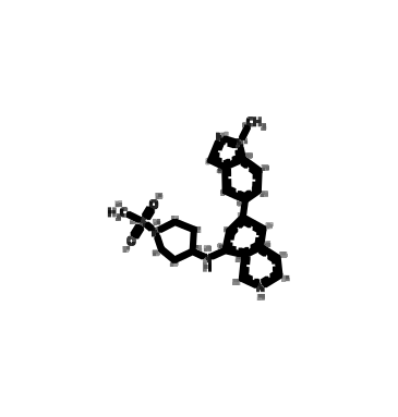 Cn1ncc2cc(-c3cc(NC4CCN(S(C)(=O)=O)CC4)c4cnccc4c3)ccc21